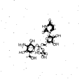 N[C@H]1[C@@H](O)[C@H](OP(=O)(OC[C@@H]2O[C@H](n3ccc(=O)[nH]c3=O)C(O)C2O)OP(=O)(O)O)O[C@H](CO)[C@H]1O